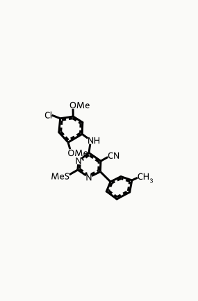 COc1cc(Nc2nc(SC)nc(-c3cccc(C)c3)c2C#N)c(OC)cc1Cl